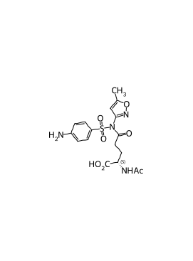 CC(=O)N[C@@H](CCC(=O)N(c1cc(C)on1)S(=O)(=O)c1ccc(N)cc1)C(=O)O